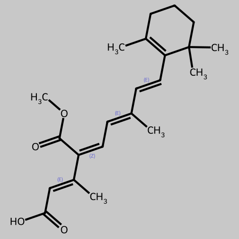 COC(=O)C(=C\C=C(C)\C=C\C1=C(C)CCCC1(C)C)/C(C)=C/C(=O)O